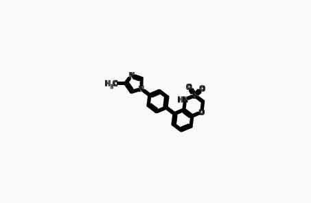 Cc1cn(-c2ccc(-c3cccc4c3NS(=O)(=O)CO4)cc2)cn1